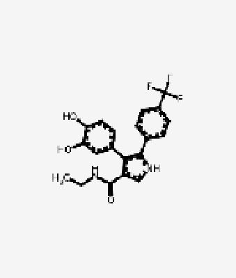 CCNC(=O)c1c[nH]c(-c2ccc(C(F)(F)F)cc2)c1-c1ccc(O)c(O)c1